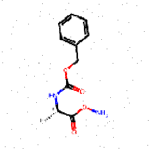 CC[C@H](NC(=O)OCc1ccccc1)C(=O)ON